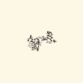 COC(=O)N[C@H]1CCC[C@@H]1C(CN1CCC1)(c1cccc(F)c1)C1CCN(CC2CN(c3ccc(C#N)c(CN4CCOCC4)c3)C2)CC1